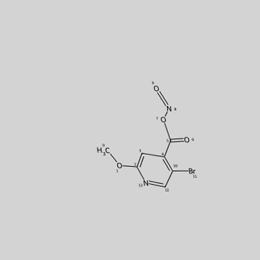 COc1cc(C(=O)ON=O)c(Br)cn1